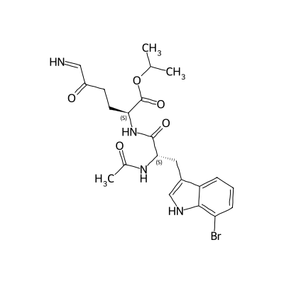 CC(=O)N[C@@H](Cc1c[nH]c2c(Br)cccc12)C(=O)N[C@@H](CCC(=O)C=N)C(=O)OC(C)C